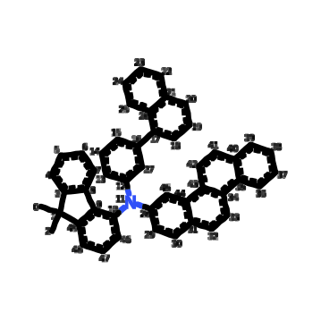 CC1(C)c2ccccc2-c2c(N(c3cccc(-c4cccc5ccccc45)c3)c3ccc4ccc5c6ccccc6ccc5c4c3)cccc21